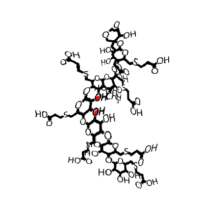 CC(O)C(O)C(OC1OC(CSCCC(=O)O)C(OC2OC(CSCCC(=O)O)C(OC3OC(CSCCC(=O)O)C(OC4OC(CSCCC(=O)O)C(OC5OC(CSCCC(=O)O)C(O)C(O)C5O)C(O)C4O)C(O)C3O)C(O)C2O)C(O)C1O)C(CSCCC(=O)O)OOC1C(CSCCC(=O)O)OC(OC2(CCSCCC(=O)O)COC3OC3C2O)C(O)C1O